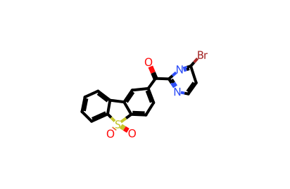 O=C(c1ccc2c(c1)-c1ccccc1S2(=O)=O)c1nccc(Br)n1